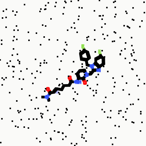 CN(C)C(=O)/C=C/CCCC(=O)Nc1cccn(Cc2nc3ccc(F)cc3n2Cc2ccc(F)cc2)c1=O